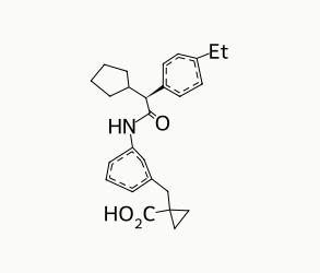 CCc1ccc([C@@H](C(=O)Nc2cccc(CC3(C(=O)O)CC3)c2)C2CCCC2)cc1